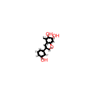 Cc1c(O)c(O)cc2c1C=C(c1cccc(O)c1)CO2